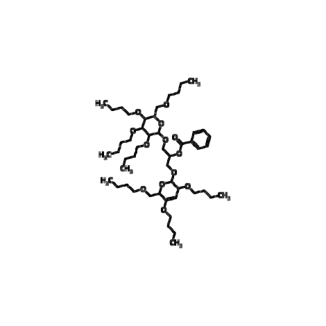 CCCCOCC1OC(OCC(COC2OC(COCCCC)C(OCCCC)C(OCCCC)C2OCCCC)OC(=O)c2ccccc2)C(OCCCC)C=C1OCCCC